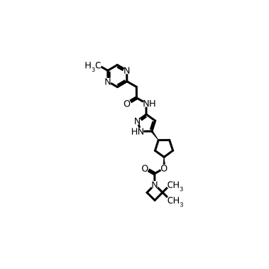 Cc1cnc(CC(=O)Nc2cc([C@H]3CC[C@@H](OC(=O)N4CCC4(C)C)C3)[nH]n2)cn1